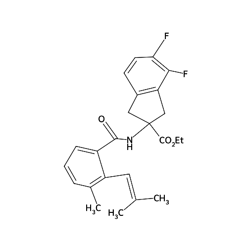 CCOC(=O)C1(NC(=O)c2cccc(C)c2C=C(C)C)Cc2ccc(F)c(F)c2C1